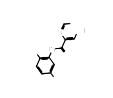 C/C=N\C(=C/C)C(=O)Nc1cc(Cl)ccc1C